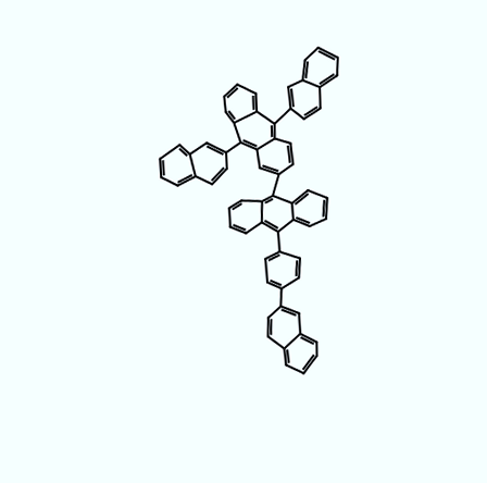 c1ccc2cc(-c3ccc(-c4c5ccccc5c(-c5ccc6c(-c7ccc8ccccc8c7)c7ccccc7c(-c7ccc8ccccc8c7)c6c5)c5ccccc45)cc3)ccc2c1